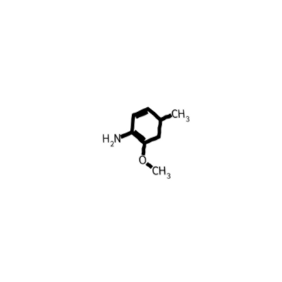 COC1=C(N)C=CC(C)C1